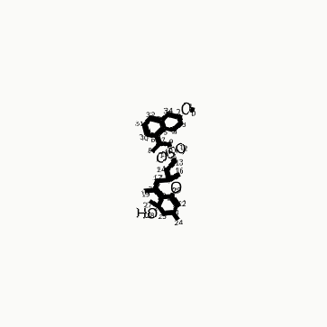 COc1ccc2c(C(C)CS(=O)(=O)CCC3(C)CC(C)=C4C(=CC(C)=CC4(C)O)O3)cccc2c1